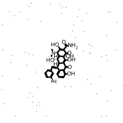 CC(=O)c1cccc(/C=C2\c3cccc(O)c3C(=O)C3=C(O)[C@]4(O)C(=O)C(C(N)=O)=C(O)[C@@H](N(C)C)[C@@H]4[C@@H](O)[C@@H]32)c1